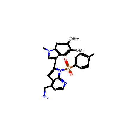 COc1cc2c(-c3cc4c(CN)ccnc4n3S(=O)(=O)c3ccc(C)cc3)cn(C)c2cc1OC